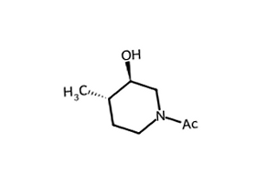 CC(=O)N1CC[C@H](C)[C@@H](O)C1